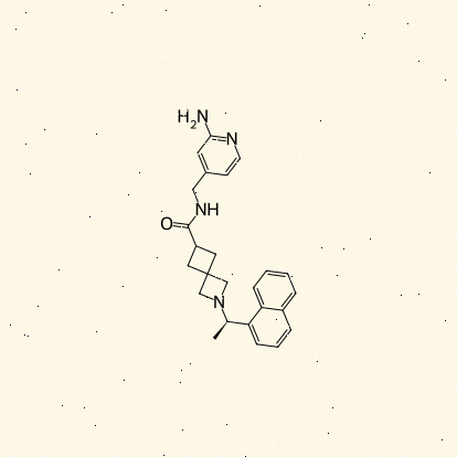 C[C@H](c1cccc2ccccc12)N1CC2(CC(C(=O)NCc3ccnc(N)c3)C2)C1